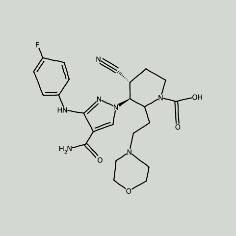 N#C[C@@H]1CCN(C(=O)O)C(CCN2CCOCC2)[C@H]1n1cc(C(N)=O)c(Nc2ccc(F)cc2)n1